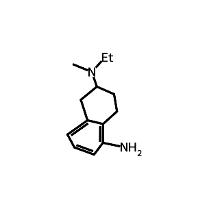 CCN(C)C1CCc2c(N)cccc2C1